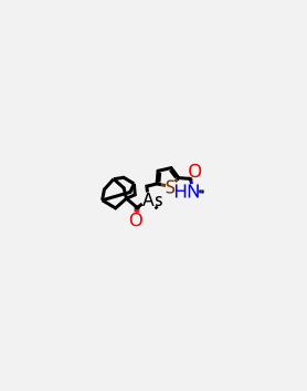 CNC(=O)c1ccc(C[As](C)C(=O)C23CC4CC(CC(C4)C2)C3)s1